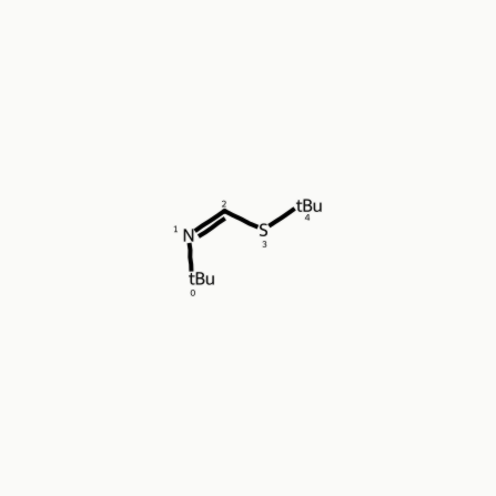 CC(C)(C)/N=C\SC(C)(C)C